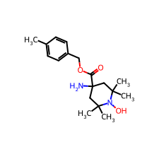 Cc1ccc(COC(=O)C2(N)CC(C)(C)N(O)C(C)(C)C2)cc1